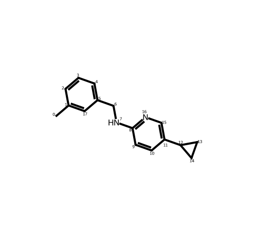 Cc1cccc(CNc2ccc(C3CC3)cn2)c1